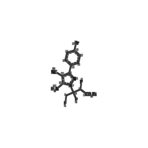 CCOC(=O)C(F)C(F)(CF)n1nc(-c2ccc(Br)cc2)c(C#N)c1N